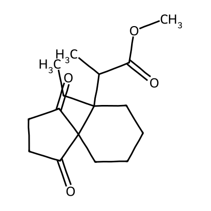 CCC1(C(C)C(=O)OC)CCCCC12C(=O)CCC2=O